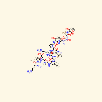 CSCC[C@H](NC(=O)[C@H](CC(C)C)NC(=O)[C@@H]1CCCN1C(=O)[C@H](CCC(=O)O)NC(=O)[C@@H](NC(=O)[C@@H](N)CCCCN)C(C)C)C(=O)N[C@H](C(=O)N[C@@H](CCCCN)C(=O)N[C@@H](CC(N)=O)C(=O)N1CCC[C@H]1C(=O)N[C@H](C(=O)NCC(=O)N[C@@H](CO)C(=O)N[C@@H](CS)C(=O)N[C@H](C(=O)O)[C@@H](C)O)[C@@H](C)O)C(C)C